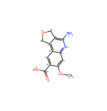 COc1cc2nc(N)c3c(c2cc1C(=O)O)COC3